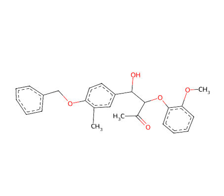 COc1ccccc1OC(C(C)=O)C(O)c1ccc(OCc2ccccc2)c(C)c1